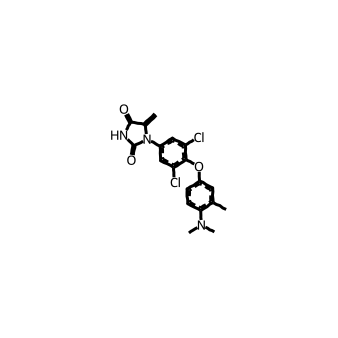 C=C1C(=O)NC(=O)N1c1cc(Cl)c(Oc2ccc(N(C)C)c(C)c2)c(Cl)c1